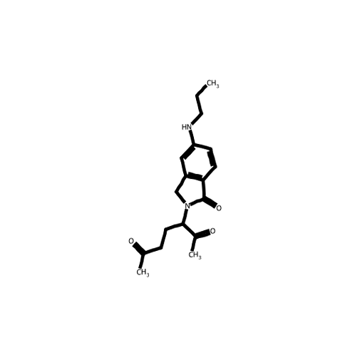 CCCNc1ccc2c(c1)CN(C(CCC(C)=O)C(C)=O)C2=O